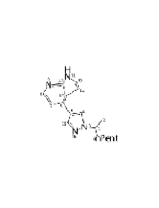 CCCCCC(C)n1cc(-c2ccnc3[nH]ccc23)cn1